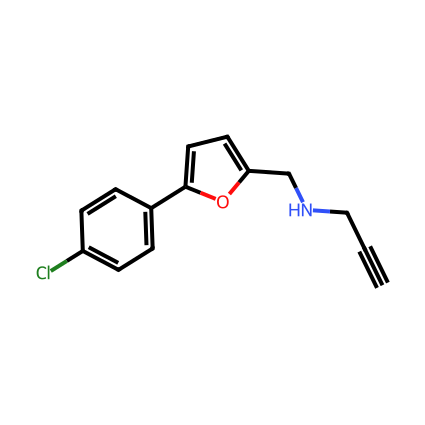 C#CCNCc1ccc(-c2ccc(Cl)cc2)o1